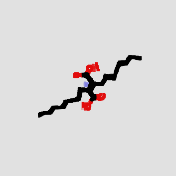 CCCCCCC/C(C(=O)O)=C(/CCCCCCC)C(=O)O